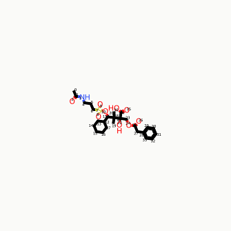 CC(=O)NCCCS(=O)(=O)OC(C1CCCCC1)C(C)(C)[C@@](O)(COC(=O)Cc1ccccc1)C(=O)O